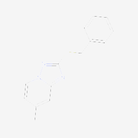 Cc1ccn2nc(SCc3ccccc3)nc2c1